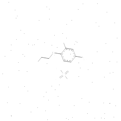 Cc1cc(N)ccc1NCCO.O=S(=O)(O)O